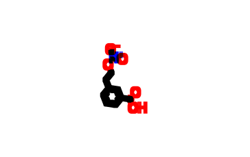 O=C(O)c1cccc(CCO[N+](=O)[O-])c1